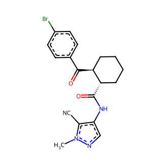 Cn1ncc(NC(=O)[C@H]2CCCC[C@@H]2C(=O)c2ccc(Br)cc2)c1C#N